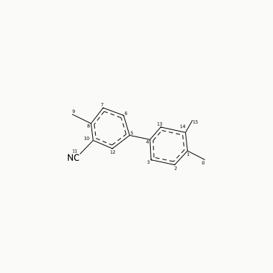 Cc1ccc(-c2ccc(C)c(C#N)c2)cc1C